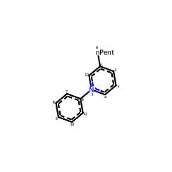 CCCCCc1ccc[n+](-c2ccccc2)c1